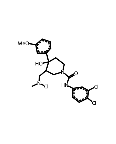 COc1cccc(C2(O)CCN(C(=O)Nc3ccc(Cl)c(Cl)c3)CC2CN(C)Cl)c1